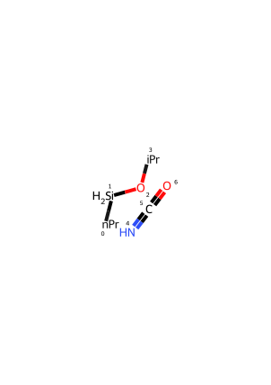 CCC[SiH2]OC(C)C.N=C=O